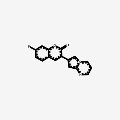 O=c1oc2cc(F)ccc2cc1-c1cc2ncccn2c1